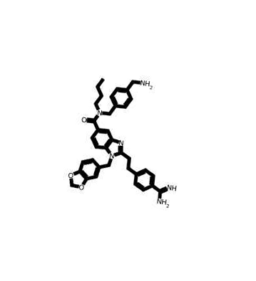 CCCCN(Cc1ccc(CN)cc1)C(=O)c1ccc2c(c1)nc(CCc1ccc(C(=N)N)cc1)n2Cc1ccc2c(c1)OCO2